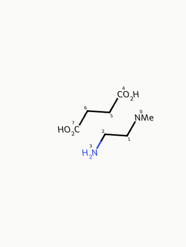 CNCCN.O=C(O)CCC(=O)O